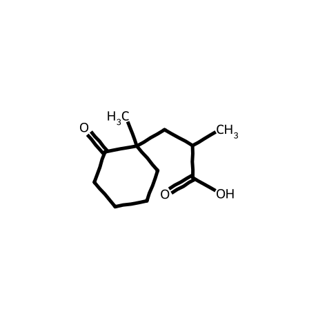 CC(CC1(C)CCCCC1=O)C(=O)O